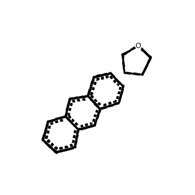 C1CCOC1.c1ccc2cc3ccccc3cc2c1